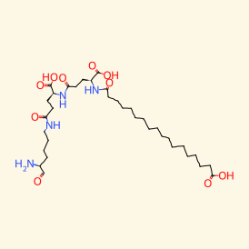 N[C@H](C=O)CCCCNC(=O)CC[C@H](NC(=O)CC[C@H](NC(=O)CCCCCCCCCCCCCCCCC(=O)O)C(=O)O)C(=O)O